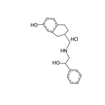 Cl.Oc1ccc2c(c1)CC(CNCC(O)c1ccccc1)CC2